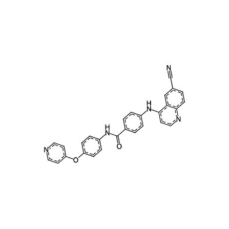 N#Cc1ccc2nccc(Nc3ccc(C(=O)Nc4ccc(Oc5ccncc5)cc4)cc3)c2c1